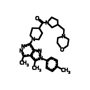 Cc1ccc(-n2nc3c(N4CCC(C(=O)N5CCC(CN6CCOCC6)C5)CC4)nnc(C)c3c2C)cc1